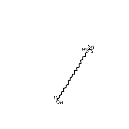 O=C(O)CCCCCCCCCCCCCCCCCCCCCCCCCCCNC(=S)S